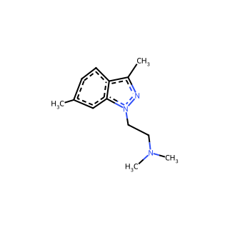 Cc1ccc2c(C)nn(CCN(C)C)c2c1